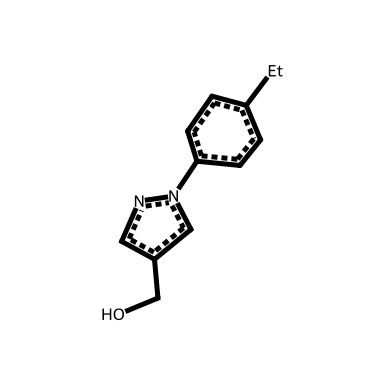 CCc1ccc(-n2cc(CO)cn2)cc1